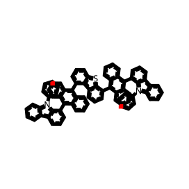 c1ccc(-n2c3ccccc3c3cccc(-c4c5ccccc5c(-c5cccc6c5sc5cccc(-c7c8ccccc8c(-c8cccc9c%10ccccc%10n(-c%10ccccc%10)c89)c8ccccc78)c56)c5ccccc45)c32)cc1